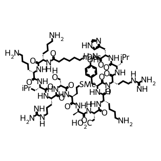 CCCCCCCCCCCCCCCC(=O)N[C@@H](CCCCN)C(=O)N[C@@H](CCCCN)C(=O)N[C@@H](CC(C)C)C(=O)N[C@@H](CCCNC(=N)N)C(=O)N[C@H](CO)C(=O)N[C@@H](CCSC)C(=O)N[C@H](C)C(=O)N[C@@H](CC(=O)O)C(=O)N[C@@H](CCCCN)C(=O)N[C@@H](Cc1ccc(O)cc1)C(=O)N[C@@H](CCCNC(=N)N)C(=O)N[C@@H](CC(C)C)C(=O)N[C@@H](Cc1c[nH]cn1)C(N)=O